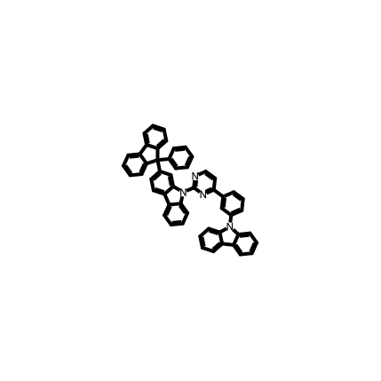 c1ccc(C2(c3ccc4c5ccccc5n(-c5nccc(-c6cccc(-n7c8ccccc8c8ccccc87)c6)n5)c4c3)c3ccccc3-c3ccccc32)cc1